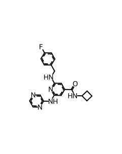 O=C(NC1CCC1)c1cc(NCc2ccc(F)cc2)nc(Nc2cnccn2)c1